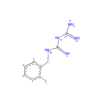 Cc1ccccc1CNC(=N)NC(=N)N